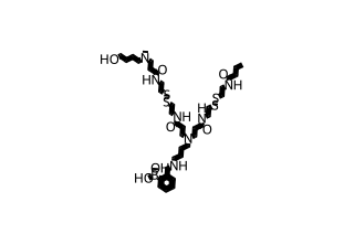 CCCC(=O)NCCSSCCNC(=O)CCN(CCCCNCc1ccccc1B(O)O)CCC(=O)NCCSSCCNC(=O)CCN(C)CCCCO